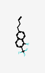 C=CCCc1ccc2c(F)c(C(F)(F)F)ccc2c1